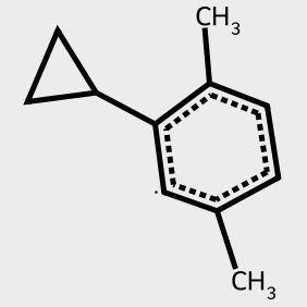 Cc1[c]c(C2CC2)c(C)cc1